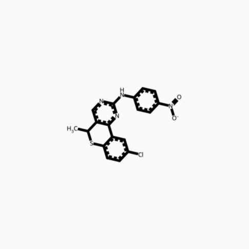 CC1Sc2ccc(Cl)cc2-c2nc(Nc3ccc([N+](=O)[O-])cc3)ncc21